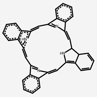 C1=CC2=C3C=C4N=C(C=c5[nH]c(c6ccccc56)=CC5=NC(=CC(N3)C2C=C1)c1ccccc15)c1ccccc14